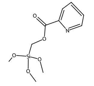 CO[Si](COC(=O)c1ccccn1)(OC)OC